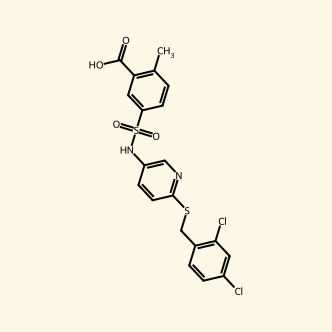 Cc1ccc(S(=O)(=O)Nc2ccc(SCc3ccc(Cl)cc3Cl)nc2)cc1C(=O)O